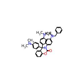 CN(C)c1ccc(C2(c3ccc(N(C)C)cc3)c3ccccc3OC(=O)N2c2ccc(N(C)Cc3ccccc3)cc2)cc1